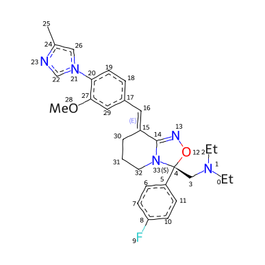 CCN(CC)C[C@]1(c2ccc(F)cc2)ON=C2/C(=C/c3ccc(-n4cnc(C)c4)c(OC)c3)CCCN21